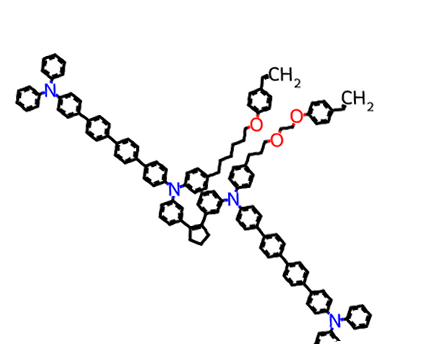 C=Cc1ccc(OCCCCCCc2ccc(N(c3ccc(-c4ccc(-c5ccc(-c6ccc(N(c7ccccc7)c7ccccc7)cc6)cc5)cc4)cc3)c3cccc(C4=C(c5cccc(N(c6ccc(CCCOCCOc7ccc(C=C)cc7)cc6)c6ccc(-c7ccc(-c8ccc(-c9ccc(N(c%10ccccc%10)c%10ccccc%10)cc9)cc8)cc7)cc6)c5)CCC4)c3)cc2)cc1